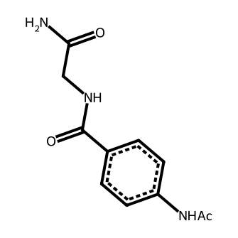 CC(=O)Nc1ccc(C(=O)NCC(N)=O)cc1